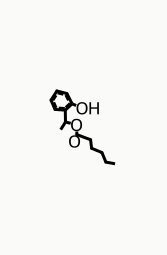 CCCCCC(=O)OC(C)c1ccccc1O